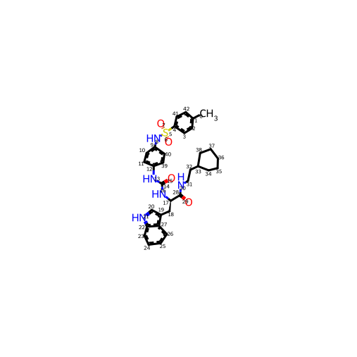 Cc1ccc(S(=O)(=O)Nc2ccc(NC(=O)N[C@H](Cc3c[nH]c4ccccc34)C(=O)NCCC3CCCCC3)cc2)cc1